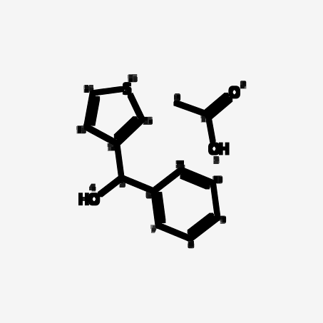 CC(=O)O.OC(c1ccccc1)c1ccsc1